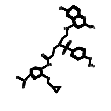 COc1ccc(S(=O)(=O)N(CCNc2cc(C)nc3ccc(Cl)cc23)CCC(=O)Nc2ccc([N+](=O)[O-])cc2OCC2CC2)cc1